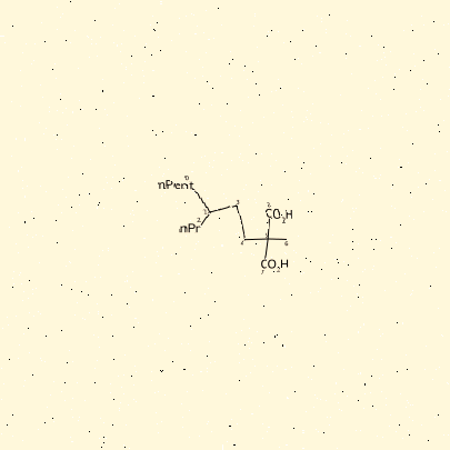 CCCCCC(CCC)CCC(C)(C(=O)O)C(=O)O